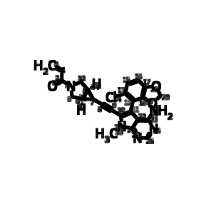 C=CC(=O)N1C[C@@H]2C(C#Cc3c(-c4c(Cl)ccc5c4OCO5)c4c(N)ncnc4n3C)[C@@H]2C1